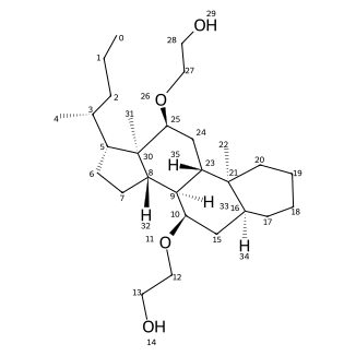 CCC[C@@H](C)[C@H]1CC[C@H]2[C@@H]3[C@H](OCCO)C[C@@H]4CCCC[C@]4(C)[C@H]3C[C@H](OCCO)[C@]12C